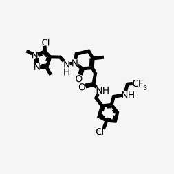 CC1=C(CC(=O)NCc2cc(Cl)ccc2CNCC(F)(F)F)C(=O)N(NCc2c(C)nn(C)c2Cl)CC1